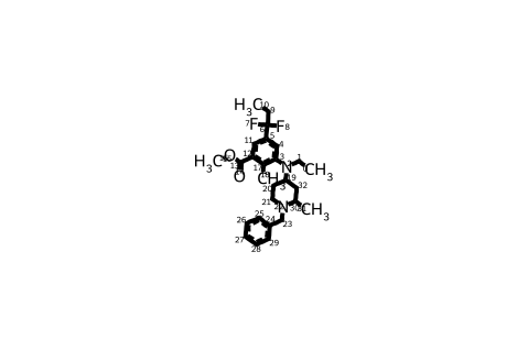 CCN(c1cc(C(F)(F)CC)cc(C(=O)OC)c1C)C1CCN(Cc2ccccc2)C(C)C1